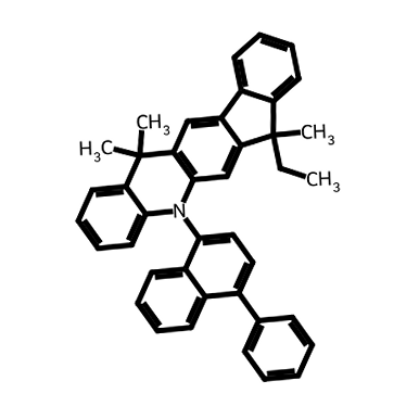 CCC1(C)c2ccccc2-c2cc3c(cc21)N(c1ccc(-c2ccccc2)c2ccccc12)c1ccccc1C3(C)C